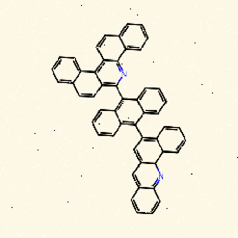 C1=CC2=C(c3c4ccccc4c(-c4nc5c6ccccc6ccc5c5c4ccc4ccccc45)c4ccccc34)C=C3C=c4ccccc4=NC3C2C=C1